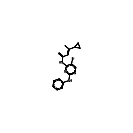 C=C(/C=C(\C)C1CC1)Nc1nc(Nc2ccccc2)ncc1Br